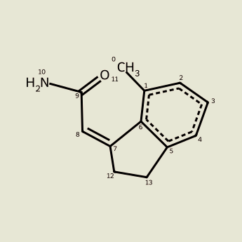 Cc1cccc2c1/C(=C\C(N)=O)CC2